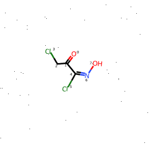 O=C(CCl)/C(Cl)=N\O